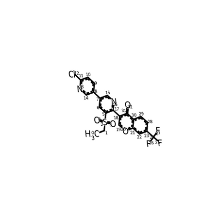 CCS(=O)(=O)c1cc(-c2ccc(Cl)nc2)cnc1-c1coc2cc(C(F)(F)F)ccc2c1=O